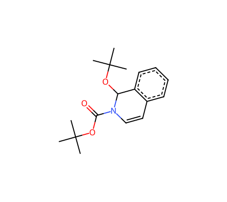 CC(C)(C)OC(=O)N1C=Cc2ccccc2C1OC(C)(C)C